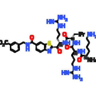 CC(=O)N[C@@H](CCCCN)C(=O)N[C@@H](CCCNC(=N)N)C(=O)N[C@@H](CC(C)C)C(=O)N[C@@H](CCCNC(=N)N)C(=O)c1nc2ccc(C(=O)NCc3cccc(C(=O)O)c3)cc2s1